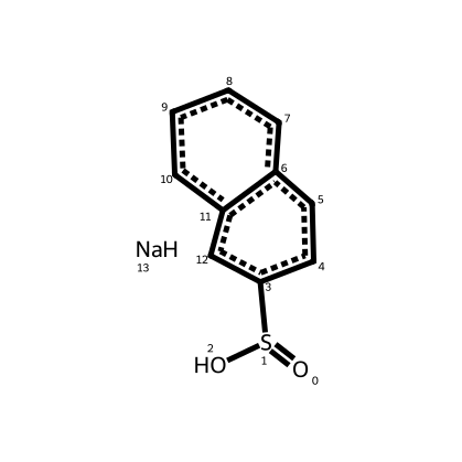 O=S(O)c1ccc2ccccc2c1.[NaH]